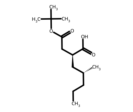 CCC[C@@H](C)C[C@@H](CC(=O)OC(C)(C)C)C(=O)O